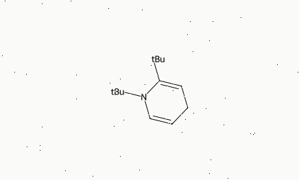 CC(C)(C)C1=CCC=CN1C(C)(C)C